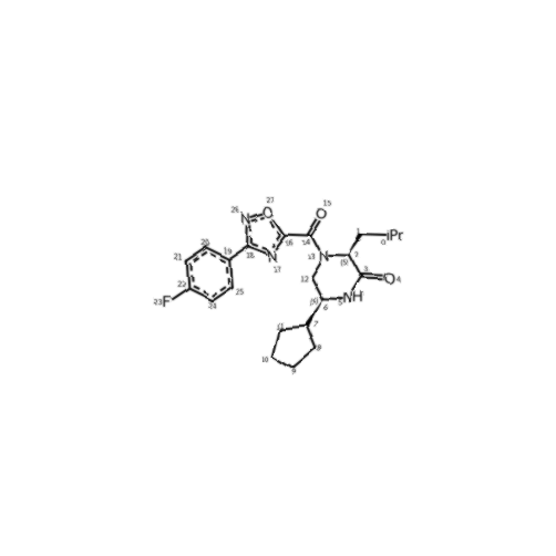 CC(C)C[C@H]1C(=O)N[C@@H](C2CCCC2)CN1C(=O)c1nc(-c2ccc(F)cc2)no1